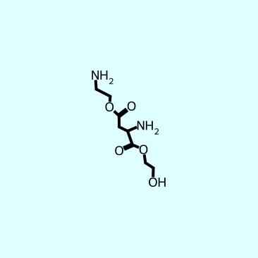 NCCOC(=O)CC(N)C(=O)OCCO